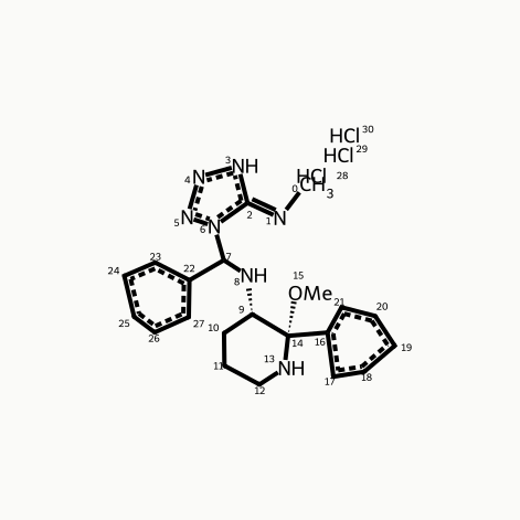 CN=c1[nH]nnn1C(N[C@H]1CCCN[C@]1(OC)c1ccccc1)c1ccccc1.Cl.Cl.Cl